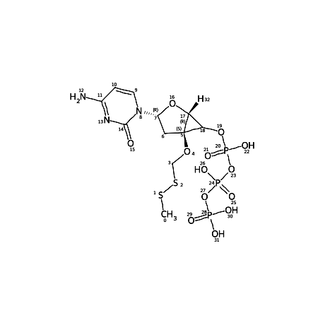 CSSCO[C@@]12C[C@H](n3ccc(N)nc3=O)O[C@@H]1C2OP(=O)(O)OP(=O)(O)OP(=O)(O)O